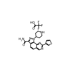 NC(=O)c1nn(C2CCNCC2)c2c1ccc1cnc(-c3ccsc3)nc12.O=C(O)C(F)(F)F